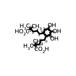 CC(C)(CCCc1cc(O)c(O)c(O)c1CCCC(C)(C)C(=O)O)C(=O)O